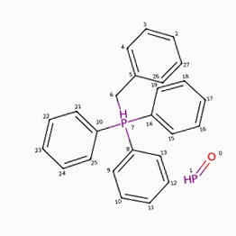 O=P.c1ccc(C[PH](c2ccccc2)(c2ccccc2)c2ccccc2)cc1